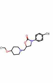 N#Cc1ccc(N2CC(CN3CCC(OCC(=O)O)CC3)OC2=O)cc1